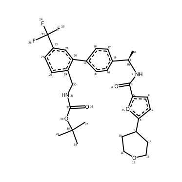 C[C@@H](NC(=O)c1ccc(C2CCOCC2)o1)c1ccc(-c2cc(C(F)(F)F)ccc2CNC(=O)OC(C)(C)C)cc1